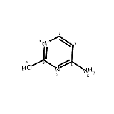 NC1=NC(O)=[N+]C=C1